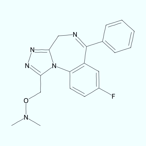 CN(C)OCc1nnc2n1-c1ccc(F)cc1C(c1ccccc1)=NC2